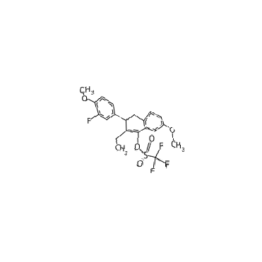 CCC1=C(OS(=O)(=O)C(F)(F)F)c2cc(OC)ccc2CC1c1ccc(OC)c(F)c1